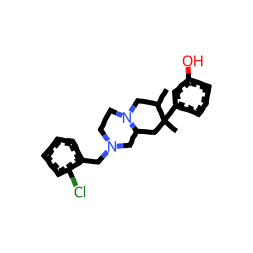 CC1CN2CCN(Cc3ccccc3Cl)CC2CC1(C)c1cccc(O)c1